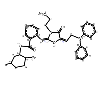 COCCN1C(=O)/C(=C\CN(c2ccccc2)c2ccccc2)O/C1=N/c1ccccc1C(=O)OC1CC(C)CCC1C(C)C